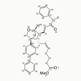 COC(=O)CCC/C=C\C[C@H]1[C@H](/C=C/C(=O)C(C)c2ccccc2)[C@@H]2C[C@@]1(c1ccc(-c3ccccc3)cc1)CO2